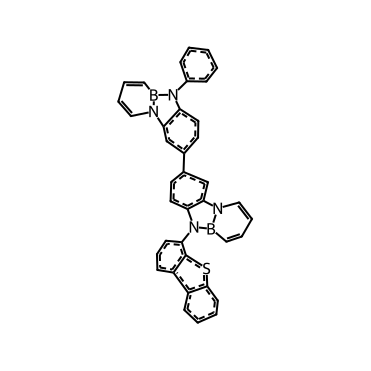 C1=CB2N(C=C1)c1cc(-c3ccc4c(c3)N3C=CC=CB3N4c3cccc4c3sc3ccccc34)ccc1N2c1ccccc1